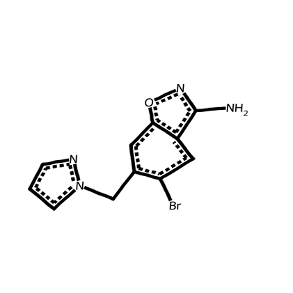 Nc1noc2cc(Cn3cccn3)c(Br)cc12